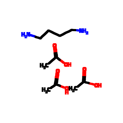 CC(=O)O.CC(=O)O.CC(=O)O.NCCCCN